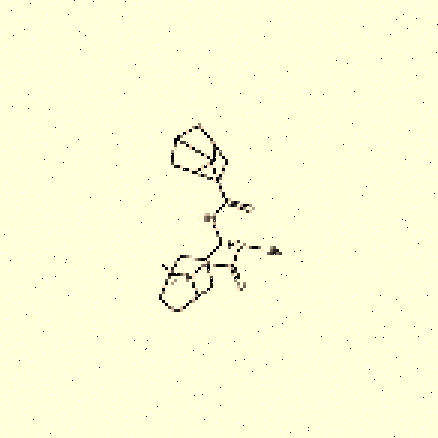 CC(C)(C)NC(=O)CN1C2CC[C@@H]1CC(CNC(=O)C13CC4CC(CC1C4)C3)C2